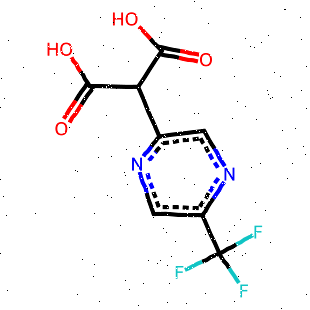 O=C(O)C(C(=O)O)c1cnc(C(F)(F)F)cn1